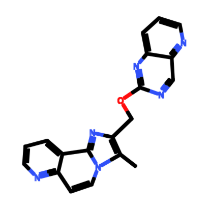 Cc1c(COc2ncc3ncccc3n2)nc2c3cccnc3ccn12